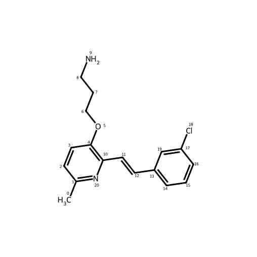 Cc1ccc(OCCCN)c(C=Cc2cccc(Cl)c2)n1